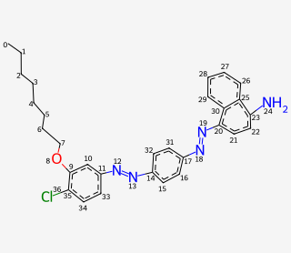 CCCCCCCCOc1cc(N=Nc2ccc(N=Nc3ccc(N)c4ccccc34)cc2)ccc1Cl